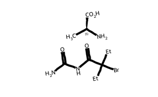 CCC(Br)(CC)C(=O)NC(N)=O.C[C@H](N)C(=O)O